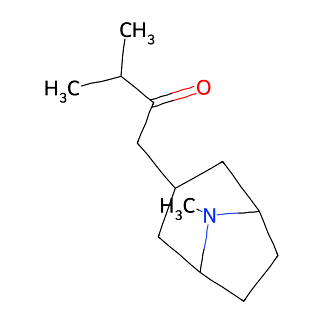 CC(C)C(=O)CC1CC2CCC(C1)N2C